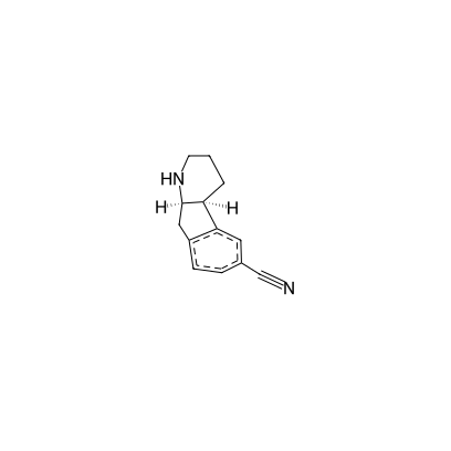 N#Cc1ccc2c(c1)[C@@H]1CCCN[C@@H]1C2